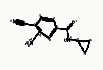 N#Cc1ccc(C(=O)NC2CC2)cc1N